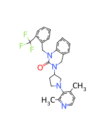 Cc1ccnc(C)c1N1CCC(N2Cc3ccccc3N(Cc3ccccc3C(F)(F)F)C2=O)C1